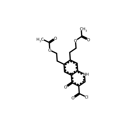 CC(=O)OCCc1cc2[nH]cc(C(=O)Cl)c(=O)c2cc1CCOC(C)=O